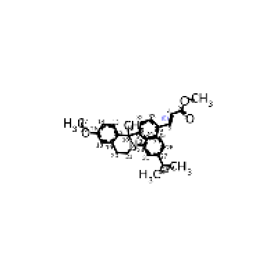 COC(=O)/C=C/c1ccc(C2(C)c3ccc(OC)cc3CCN2c2cccc(C(C)C)c2)cc1